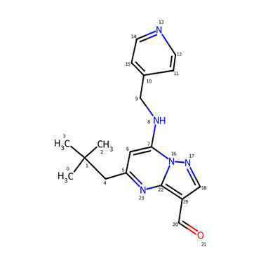 CC(C)(C)Cc1cc(NCc2ccncc2)n2ncc(C=O)c2n1